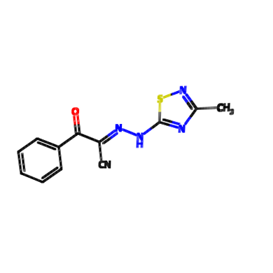 Cc1nsc(N/N=C(\C#N)C(=O)c2ccccc2)n1